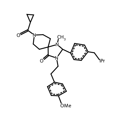 COc1ccc(CCN2C(=O)C3(CCN(C(=O)C4CC4)CC3)N(C)C2c2ccc(CC(C)C)cc2)cc1